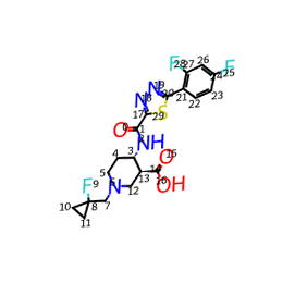 O=C(N[C@H]1CCN(CC2(F)CC2)C[C@@H]1C(=O)O)c1nnc(-c2ccc(F)cc2F)s1